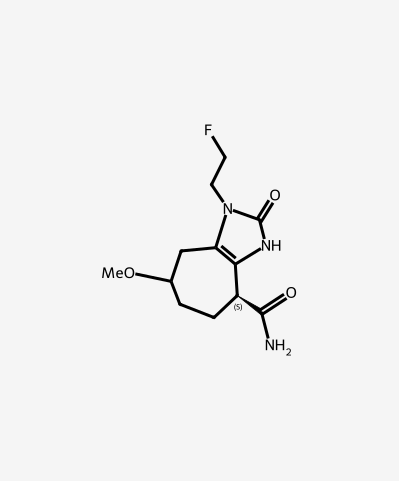 COC1CC[C@H](C(N)=O)c2[nH]c(=O)n(CCF)c2C1